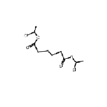 CC(Cl)OC(=O)CCCCC(=O)OC(C)Cl